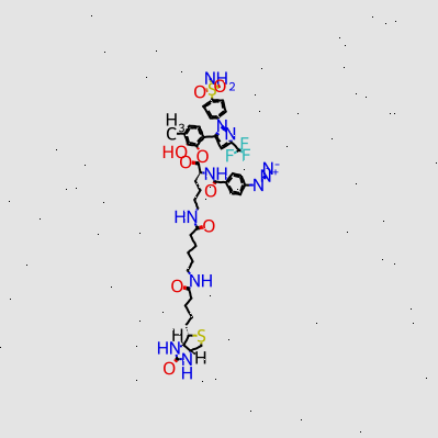 Cc1ccc(-c2cc(C(F)(F)F)nn2-c2ccc(S(N)(=O)=O)cc2)c(OC(=O)[C@H](CCCCNC(=O)CCCCCNC(=O)CCCC[C@@H]2SC[C@@H]3NC(=O)N[C@H]32)NC(=O)c2ccc(N=[N+]=[N-])cc2)c1O